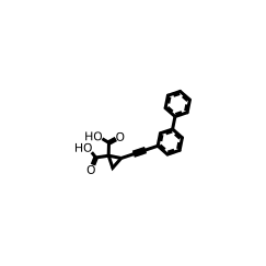 O=C(O)C1(C(=O)O)CC1C#Cc1cccc(-c2ccccc2)c1